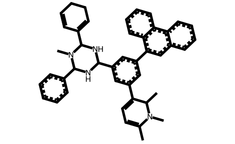 CC1=CC=C(c2cc(-c3cc4ccccc4c4ccccc34)cc(C3NC(C4=CCCC=C4)N(C)C(c4ccccc4)N3)c2)C(C)N1C